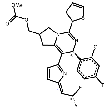 COC(=O)OCC1CC2=C(C3=N/C(=C\[C@@H](C)F)C=C3)[C@H](c3ccc(F)cc3Cl)N=C(C3CC=CS3)N2C1